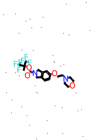 CC(OC(=O)N1Cc2ccc(OCCN3CCOCC3)cc2C1)(C(F)(F)F)C(F)(F)F